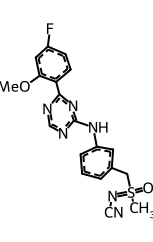 COc1cc(F)ccc1-c1ncnc(Nc2cccc(CS(C)(=O)=NC#N)c2)n1